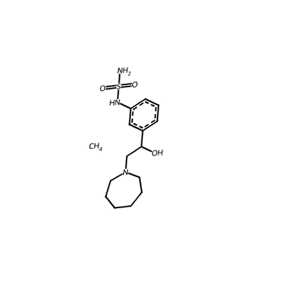 C.NS(=O)(=O)Nc1cccc(C(O)CN2CCCCCC2)c1